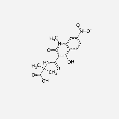 Cn1c(=O)c(C(=O)NC(C)(C)C(=O)O)c(O)c2ccc([N+](=O)[O-])cc21